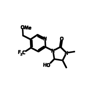 COCc1cnc(N2C(=O)N(C)C(C)C2O)cc1C(F)(F)F